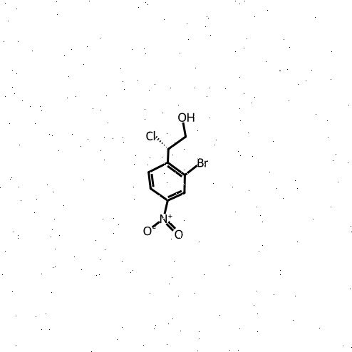 O=[N+]([O-])c1ccc([C@H](Cl)CO)c(Br)c1